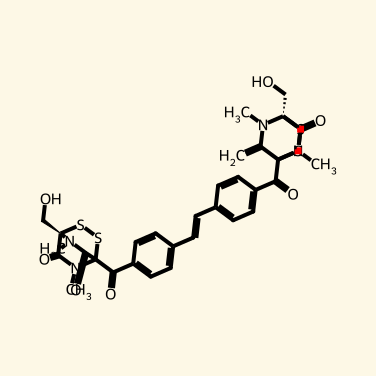 C=C1N(C)[C@@]2(CO)SSC1(C(=O)c1ccc(/C=C/c3ccc(C(=O)C45SS[C@@](CO)(C(=O)N4C)N(C)C5=O)cc3)cc1)N(C)C2=O